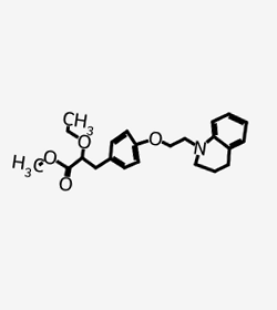 CCOC(Cc1ccc(OCCN2CCCc3ccccc32)cc1)C(=O)OC